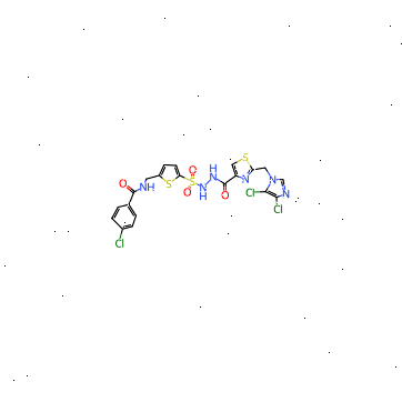 O=C(NCc1ccc(S(=O)(=O)NNC(=O)c2csc(Cn3cnc(Cl)c3Cl)n2)s1)c1ccc(Cl)cc1